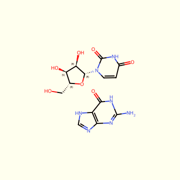 Nc1nc2nc[nH]c2c(=O)[nH]1.O=c1ccn([C@@H]2O[C@H](CO)[C@@H](O)[C@H]2O)c(=O)[nH]1